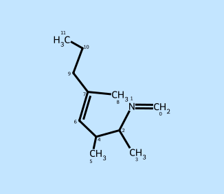 C=NC(C)C(C)/C=C(\C)CCC